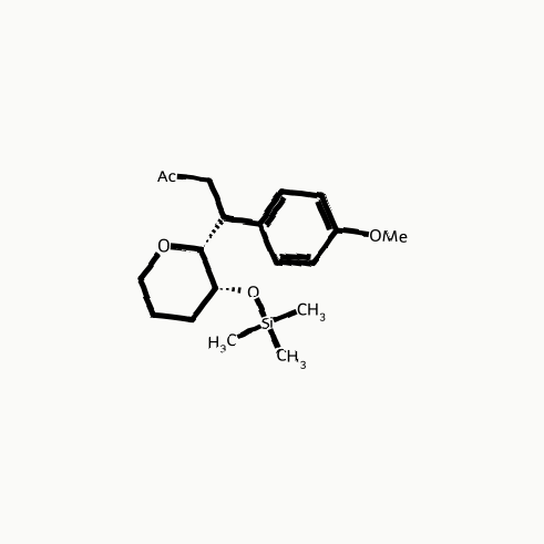 COc1ccc(C(CC(C)=O)[C@H]2OCCC[C@H]2O[Si](C)(C)C)cc1